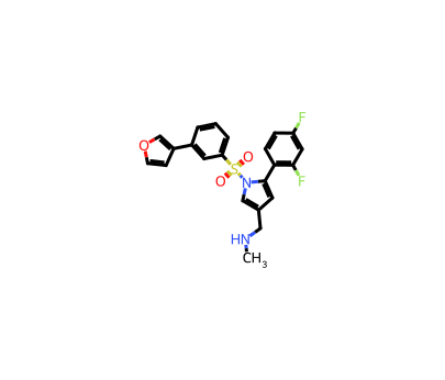 CNCc1cc(-c2ccc(F)cc2F)n(S(=O)(=O)c2cccc(-c3ccoc3)c2)c1